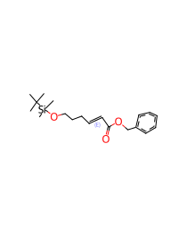 CC(C)(C)[Si](C)(C)OCCC/C=C/C(=O)OCc1ccccc1